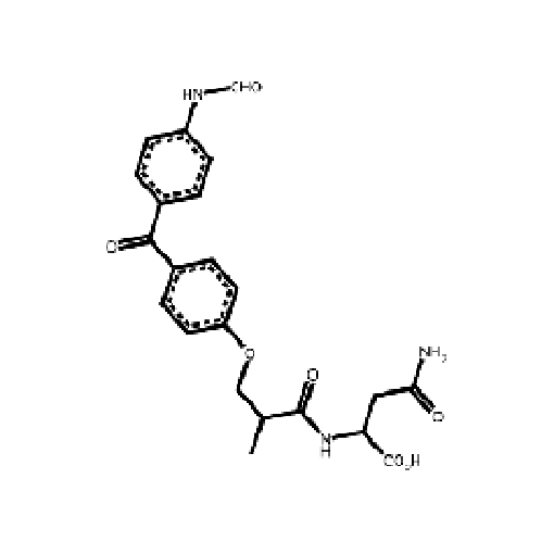 CC(COc1ccc(C(=O)c2ccc(NC=O)cc2)cc1)C(=O)NC(CC(N)=O)C(=O)O